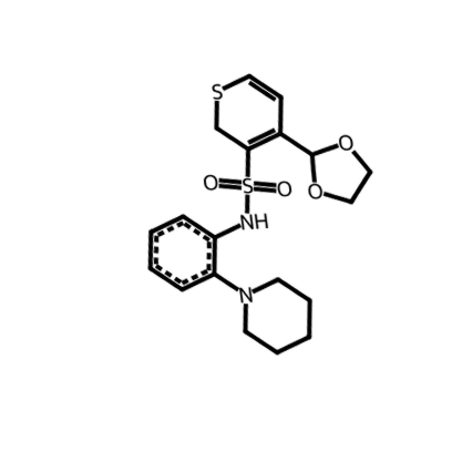 O=S(=O)(Nc1ccccc1N1CCCCC1)C1=C(C2OCCO2)C=CSC1